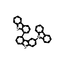 c1ccc2c(c1)sc1c(-c3cccc4sc5ccc(-n6c7ccccc7c7ccccc76)cc5c34)cccc12